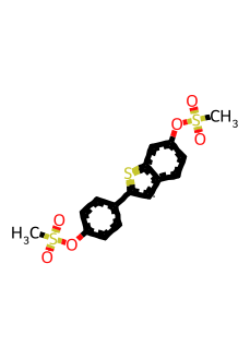 CS(=O)(=O)Oc1ccc(-c2[c]c3ccc(OS(C)(=O)=O)cc3s2)cc1